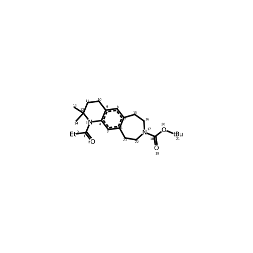 CCC(=O)N1c2cc3c(cc2CCC1(C)C)CCN(C(=O)OC(C)(C)C)CC3